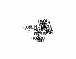 CCNC(=O)CCCCCNC(=O)CN(CC(=O)NCCO[C@H]1O[C@H](CO)[C@@H](O)[C@H](O)[C@@H]1O)CC(=O)NCCO[C@H]1O[C@H](CO[C@H]2O[C@H](CO)[C@@H](O)[C@H](O)[C@@H]2O)[C@@H](O)[C@H](O[C@H]2O[C@H](CO)[C@@H](O)[C@H](O)[C@@H]2O)[C@@H]1O